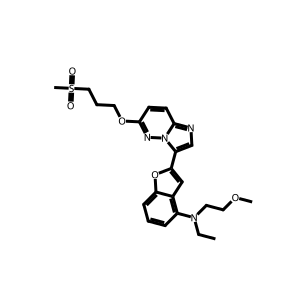 CCN(CCOC)c1cccc2oc(-c3cnc4ccc(OCCCS(C)(=O)=O)nn34)cc12